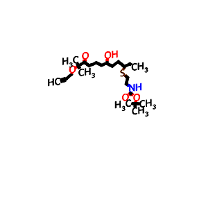 C#CCOC(C)(C)C(=O)CCCC(O)CCC(CC)SCCNC(=O)OC(C)(C)C